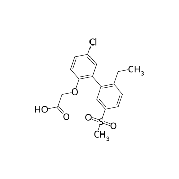 CCc1ccc(S(C)(=O)=O)cc1-c1cc(Cl)ccc1OCC(=O)O